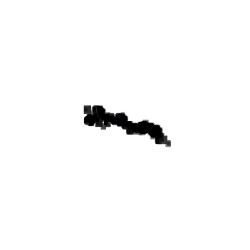 C\C=C/C(=C\C=C\C/C(C)=C/C=C(\C=C/C)OCC1COC1)OCC(O)COc1ccc(Cc2ccc(OC)cc2)cc1